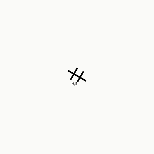 BC(C)(C)C(C)(C)C